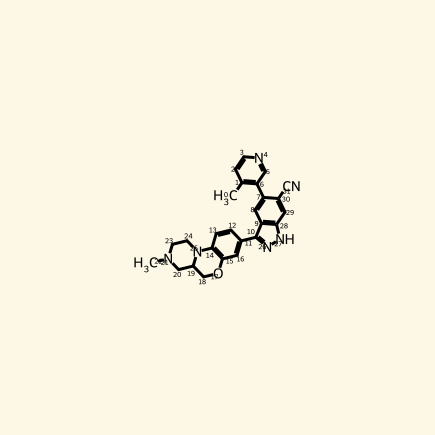 Cc1ccncc1-c1cc2c(-c3ccc4c(c3)OCC3CN(C)CCN43)n[nH]c2cc1C#N